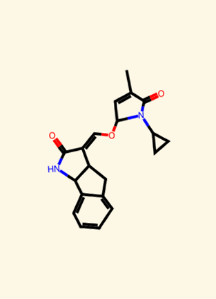 CC1=CC(OC=C2C(=O)NC3c4ccccc4CC23)N(C2CC2)C1=O